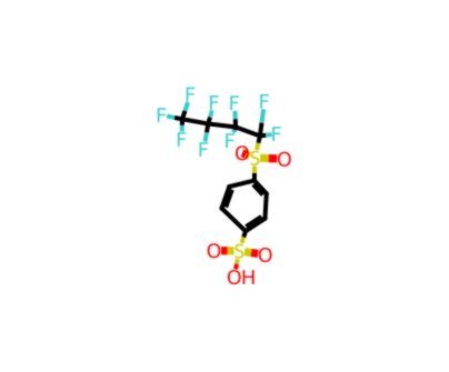 O=S(=O)(O)c1ccc(S(=O)(=O)C(F)(F)C(F)(F)C(F)(F)C(F)(F)F)cc1